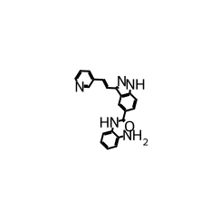 Nc1ccccc1NC(=O)c1ccc2[nH]nc(/C=C/c3cccnc3)c2c1